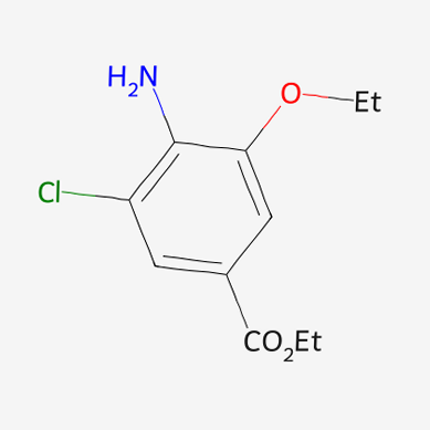 CCOC(=O)c1cc(Cl)c(N)c(OCC)c1